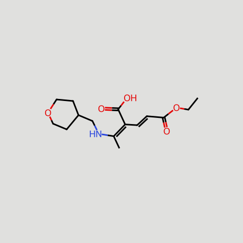 CCOC(=O)C=CC(C(=O)O)=C(C)NCC1CCOCC1